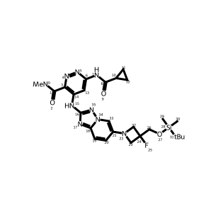 CNC(=O)c1nnc(NC(=O)C2CC2)cc1Nc1nc2ccc(N3CC(F)(CO[Si](C)(C)C(C)(C)C)C3)cn2n1